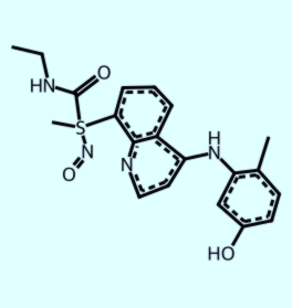 CCNC(=O)S(C)(N=O)c1cccc2c(Nc3cc(O)ccc3C)ccnc12